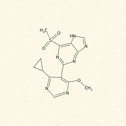 COc1ncnc(C2CC2)c1-c1nc(S(C)(=O)=O)c2[nH]cnc2n1